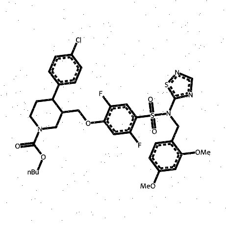 CCCCOC(=O)N1CCC(c2ccc(Cl)cc2)C(COc2cc(F)c(S(=O)(=O)N(Cc3ccc(OC)cc3OC)c3ncns3)cc2F)C1